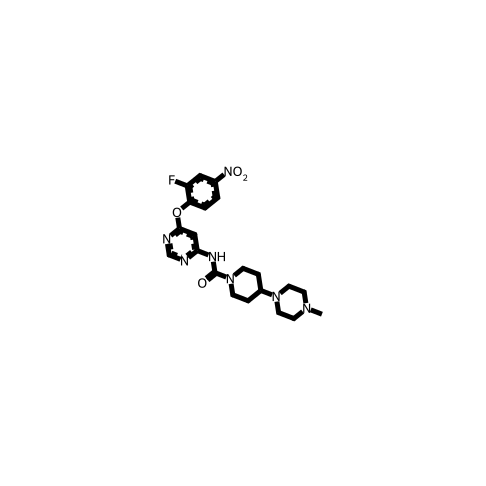 CN1CCN(C2CCN(C(=O)Nc3cc(Oc4ccc([N+](=O)[O-])cc4F)ncn3)CC2)CC1